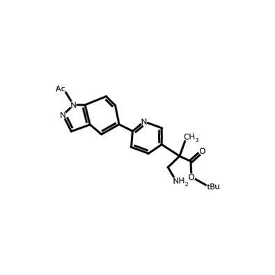 CC(=O)n1ncc2cc(-c3ccc(C(C)(CN)C(=O)OC(C)(C)C)cn3)ccc21